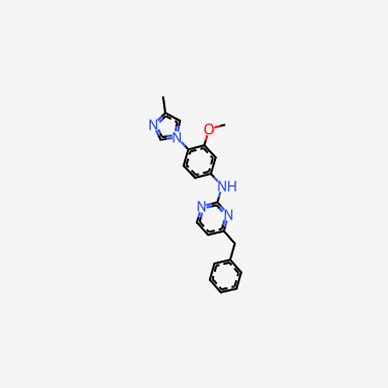 COc1cc(Nc2nccc(Cc3ccccc3)n2)ccc1-n1cnc(C)c1